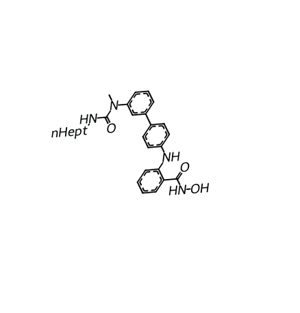 CCCCCCCNC(=O)N(C)c1cccc(-c2ccc(Nc3ccccc3C(=O)NO)cc2)c1